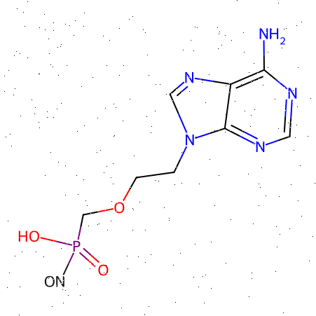 Nc1ncnc2c1ncn2CCOCP(=O)(O)N=O